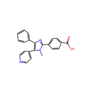 Cn1c(-c2ccc(C(=O)O)cc2)nc(-c2ccccc2)c1-c1ccncc1